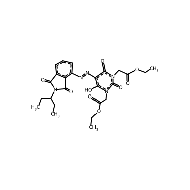 CCOC(=O)Cn1c(O)c(N=Nc2cccc3c2C(=O)N(C(CC)CC)C3=O)c(=O)n(CC(=O)OCC)c1=O